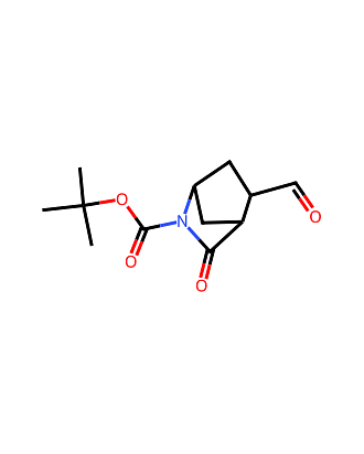 CC(C)(C)OC(=O)N1C(=O)C2CC1CC2C=O